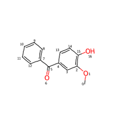 COc1cc(C(=O)c2ccccc2)ccc1O